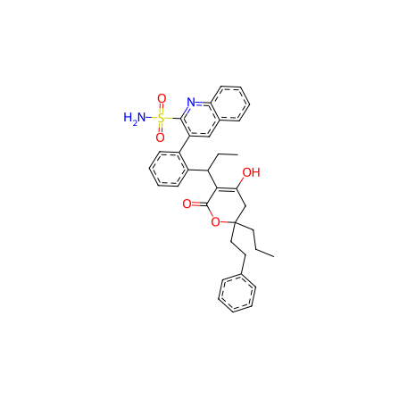 CCCC1(CCc2ccccc2)CC(O)=C(C(CC)c2ccccc2-c2cc3ccccc3nc2S(N)(=O)=O)C(=O)O1